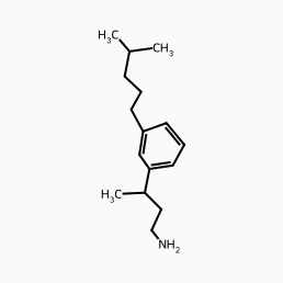 CC(C)CCCc1cccc(C(C)CCN)c1